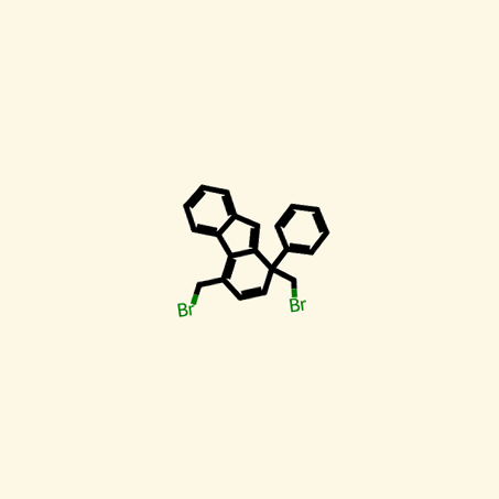 BrCC1=C2C(=Cc3ccccc32)C(CBr)(c2ccccc2)C=C1